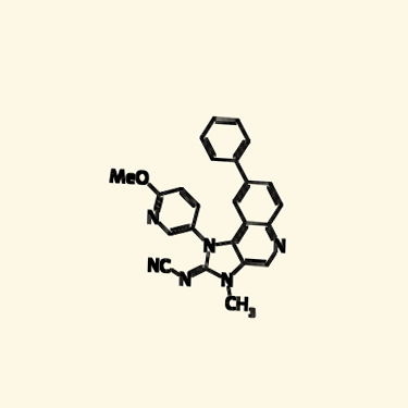 COc1ccc(-n2c(=NC#N)n(C)c3cnc4ccc(-c5ccccc5)cc4c32)cn1